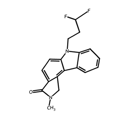 CN1Cc2c(ccc3c2c2ccccc2n3CCC(F)F)C1=O